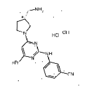 CCCc1cc(N2CC[C@H](CN)C2)nc(Nc2cccc(C#N)c2)n1.Cl.Cl